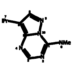 CNc1ncnc2c(C(C)C)cnn12